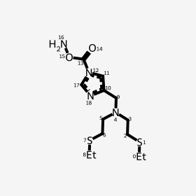 CCSCCN(CCSCC)Cc1cn(C(=O)ON)cn1